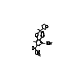 Cc1c(C(=O)O)cc(Br)c2c1OC(C)(C1CCOC1)O2